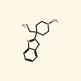 CN1CCC(CN)(C2=Nc3ccccc3C2)CC1